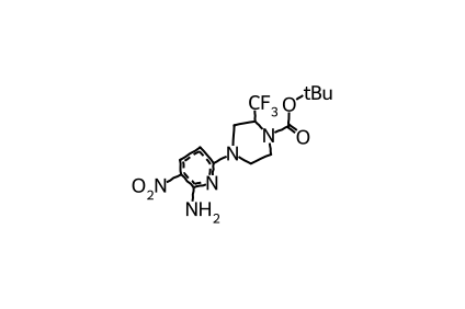 CC(C)(C)OC(=O)N1CCN(c2ccc([N+](=O)[O-])c(N)n2)CC1C(F)(F)F